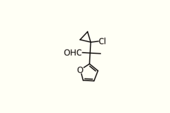 CC(C=O)(c1ccco1)C1(Cl)CC1